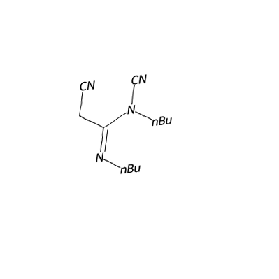 CCCCN=C(CC#N)N(C#N)CCCC